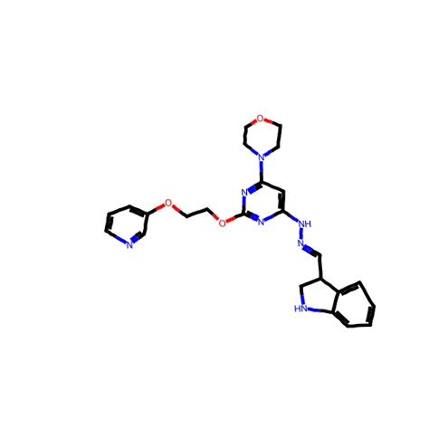 C(=N\Nc1cc(N2CCOCC2)nc(OCCOc2cccnc2)n1)/C1CNc2ccccc21